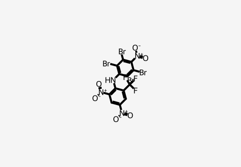 O=[N+]([O-])c1cc([N+](=O)[O-])c(Nc2c(Br)c(Br)c([N+](=O)[O-])c(Br)c2Br)c(C(F)(F)F)c1